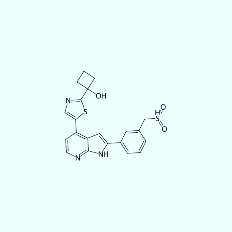 O=[SH](=O)Cc1cccc(-c2cc3c(-c4cnc(C5(O)CCC5)s4)ccnc3[nH]2)c1